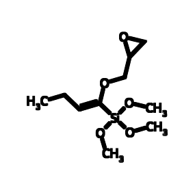 CC/C=C(\OCC1CO1)[Si](OC)(OC)OC